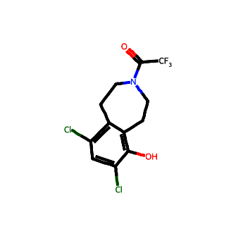 O=C(N1CCc2c(Cl)cc(Cl)c(O)c2CC1)C(F)(F)F